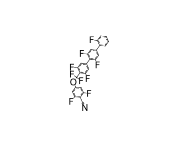 N#Cc1c(F)cc(OC(F)(F)c2c(F)cc(-c3c(F)cc(-c4ccccc4F)cc3F)cc2F)cc1F